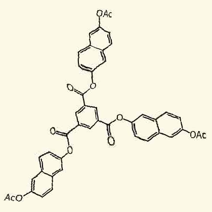 CC(=O)Oc1ccc2cc(OC(=O)c3cc(C(=O)Oc4ccc5cc(OC(C)=O)ccc5c4)cc(C(=O)Oc4ccc5cc(OC(C)=O)ccc5c4)c3)ccc2c1